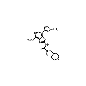 CCN(CC1CCOCC1)C(=O)Nc1nc2c(OC)ncc(-c3cnn(C)c3)c2s1